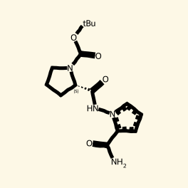 CC(C)(C)OC(=O)N1CCC[C@H]1C(=O)Nn1cccc1C(N)=O